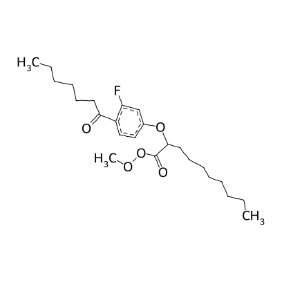 CCCCCCCCC(Oc1ccc(C(=O)CCCCCC)c(F)c1)C(=O)OOC